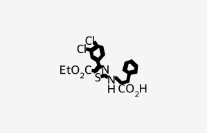 CCOC(=O)c1sc(NCC(Cc2ccccc2)C(=O)O)nc1-c1ccc(Cl)c(Cl)c1